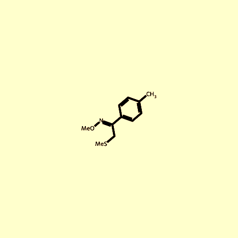 CO/N=C(\CSC)c1ccc(C)cc1